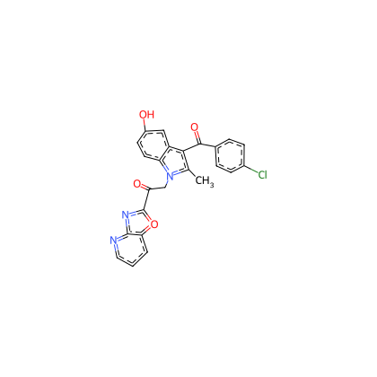 Cc1c(C(=O)c2ccc(Cl)cc2)c2cc(O)ccc2n1CC(=O)c1nc2ncccc2o1